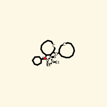 CCN(CC)P(=S)(C1C(OC2CCCCCCCCCCC2)CCCCCCCCC1OC1CCCCCC1)N(CC)CC